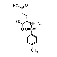 Cc1ccc(S(=O)(=O)N[C@@H](CCC(=O)O)C(=O)[O-])cc1.[Na+]